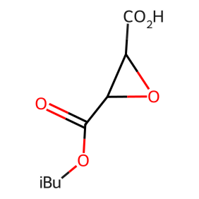 CCC(C)OC(=O)C1OC1C(=O)O